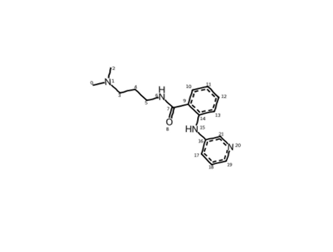 CN(C)CCCNC(=O)c1ccccc1Nc1cccnc1